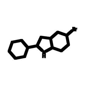 BrC1CCC2NC(C3CCCCC3)CC2C1